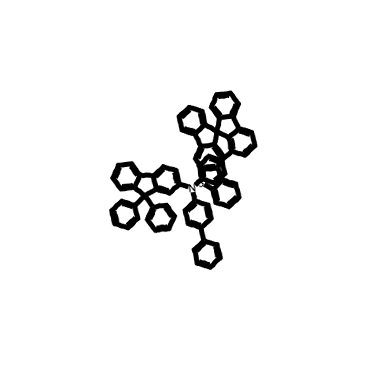 c1ccc(-c2ccc(N(c3ccc(-c4cccc5c4C4(c6ccccc6-c6cc7sc8ccccc8c7cc64)c4ccccc4-5)cc3)c3ccc4c(c3)C(c3ccccc3)(c3ccccc3)c3ccccc3-4)cc2)cc1